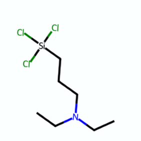 CCN(CC)CCC[Si](Cl)(Cl)Cl